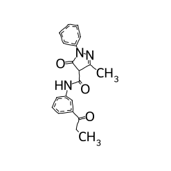 CCC(=O)c1cccc(NC(=O)C2C(=O)N(c3ccccc3)N=C2C)c1